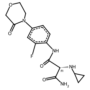 NC(=O)[C@@H](NC1CC1)C(=O)Nc1ccc(N2CCOCC2=O)cc1F